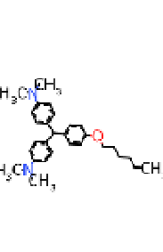 CCCCCCOc1ccc(C(c2ccc(N(C)C)cc2)c2ccc(N(C)C)cc2)cc1